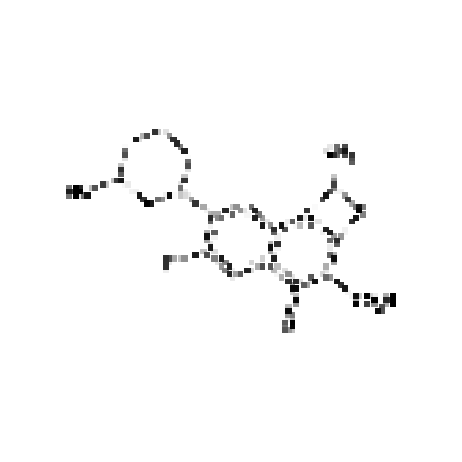 CC1Sc2c(C(=O)O)c(=O)c3cc(F)c(N4CCCC(O)C4)cc3n21